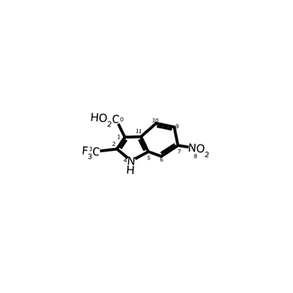 O=C(O)c1c(C(F)(F)F)[nH]c2cc([N+](=O)[O-])ccc12